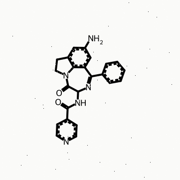 Nc1cc2c3c(c1)C(c1ccccc1)=NC(NC(=O)c1ccncc1)C(=O)N3CC2